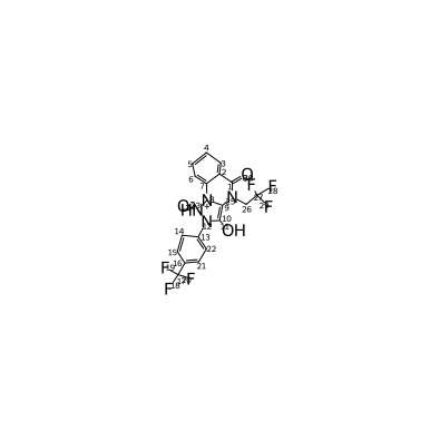 O=C1c2ccccc2N2C(=C(O)N(c3ccc(C(F)(F)F)cc3)[NH+]2[O-])N1CC(F)(F)F